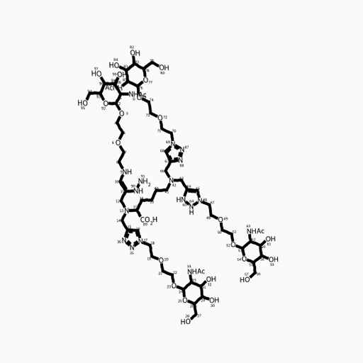 CC(=O)NC1C(OCCOCCN/C=C(/CN(Cc2cn(CCOCCOC3OC(CO)C(O)C(O)C3NC(C)=O)nn2)C(CCCCN(CC2=CN(CCOCCOC3OC(CO)C(O)C(O)C3NC(C)=O)NN2)Cc2cn(CCOCCOC3OC(CO)C(O)C(O)C3NC(C)=O)nn2)C(=O)O)NN)OC(CO)C(O)C1O